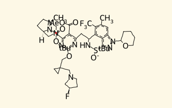 COC(=O)c1c(CC(N[S+]([O-])C(C)(C)C)c2c(C(F)(F)F)c(C)cc3c2cnn3C2CCCCO2)nc(OCC2(CN3CC[C@@H](F)C3)CC2)nc1N1C[C@H]2CC[C@](C)(C1)N2C(=O)OC(C)(C)C